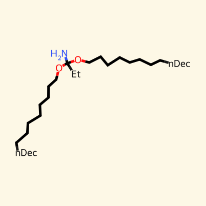 CCCCCCCCCCCCCCCCCCOC(N)(CC)OCCCCCCCCCCCCCCCCCC